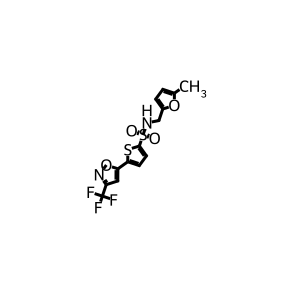 Cc1ccc(CNS(=O)(=O)c2ccc(-c3cc(C(F)(F)F)no3)s2)o1